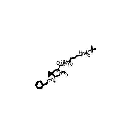 CN(OCc1ccccc1)[C@H]1CN(C=O)[C@H](C(=O)NNC(=O)CCCCNC(=O)OC(C)(C)C)CC12CC2